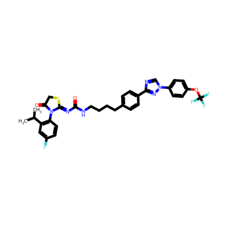 CC(C)c1cc(F)ccc1N1C(=O)CSC1=NC(=O)NCCCCc1ccc(-c2ncn(-c3ccc(OC(F)(F)F)cc3)n2)cc1